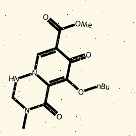 CCCCOc1c2n(cc(C(=O)OC)c1=O)NCN(C)C2=O